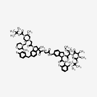 CO[C@H](C)[C@H](NC(=O)C(C)N(C)C(=O)OC(C)(C)C)C(=O)N1Cc2ccc(NC(=O)CNC(=O)C3(C)CN(C(=O)CN4C[C@@H](C)N(C(=O)OC(C)(C)C)C[C@@H]4CN4CCOCC4C)c4cc(Cc5ccc(F)cc5)ccc43)cc2C1C(=O)Nc1c(F)cccc1F